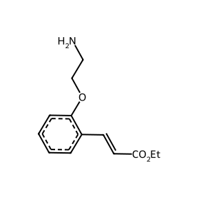 CCOC(=O)C=Cc1ccccc1OCCN